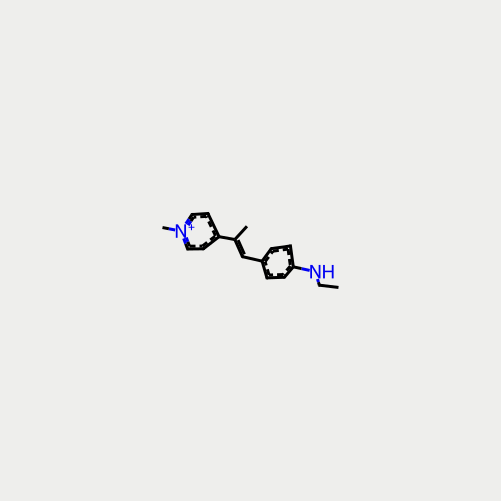 CCNc1ccc(/C=C(\C)c2cc[n+](C)cc2)cc1